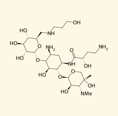 CN[C@@H]1[C@@H](O)[C@@H](O[C@H]2[C@H](NC(=O)[C@@H](O)CCN)C[C@H](N)C(O[C@H]3O[C@H](CNCCCO)[C@@H](O)[C@H](O)[C@H]3O)[C@@H]2O)OC[C@]1(C)O